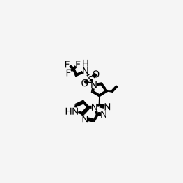 CC[C@@H]1CN(S(=O)(=O)NCC(F)(F)F)C[C@@H]1c1nnc2cnc3[nH]ccc3n12